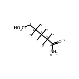 CC(C)(CC(=O)O)C(C)(C)C(C)(C)C(N)=O